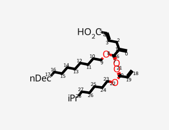 C=C(CC=CC(=O)O)C(=O)OCCCCCCCCCCCCCCCCCC.C=CC(=O)OCCCCCC(C)C